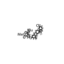 COC(=O)[C@@H]1C[C@H](Oc2cc(F)c(F)c(C[C@H]3CC[C@](c4cccc(Cl)c4)(N(C)C)CC3)c2)CN1C(=O)OC(C)(C)C